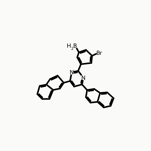 Bc1cc(Br)cc(-c2nc(-c3ccc4ccccc4c3)cc(-c3ccc4ccccc4c3)n2)c1